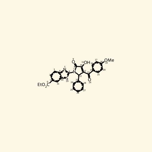 CCOC(=O)c1ccc2nc(N3C(=O)C(O)=C(C(=O)c4ccc(OC)cc4)C3c3ccccc3)sc2c1